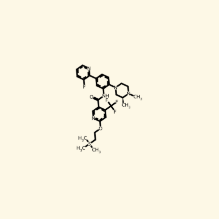 C[C@H]1CN(c2ccc(-c3ncccc3F)cc2NC(=O)c2cnc(OCCS(C)(C)C)cc2C(F)(F)F)CCN1C